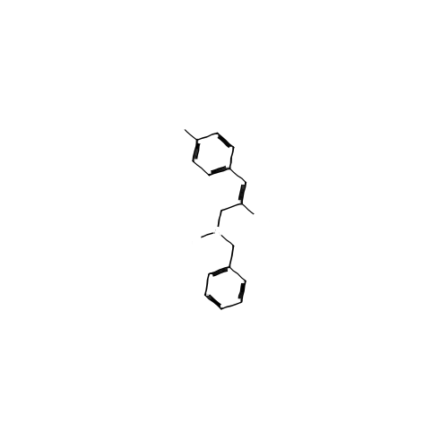 CC(=Cc1ccc(C(=O)O)cc1)CN(C)Cc1ccccc1